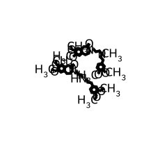 COc1ccc(CCCNCCCN2CCc3cc(OC)c(OC)cc3CC2=O)cc1OC.COc1ccc(CCN(C)CCCN2CCc3cc(OC)c(OC)cc3CC2=O)cc1OC